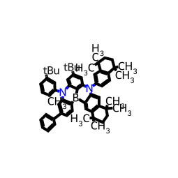 Cc1ccc(C(C)(C)C)cc1N1c2cc(-c3ccccc3)ccc2B2c3cc4c(cc3N(c3ccc5c(c3)C(C)(C)CCC5(C)C)c3cc(C(C)(C)C)cc1c32)C(C)(C)CCC4(C)C